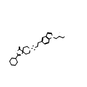 O=C1NC(C2CCCCC2)=NC12CCN(S(=O)(=O)CCc1ccc3c(ccn3C[C@H](O)CO)c1)CC2